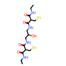 CCNC(=O)C(CS)C(=O)NCC(O)CNC(=O)C(CS)C(=O)NCC